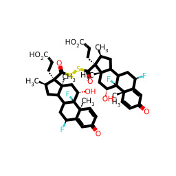 C[C@@H]1CC2C3C[C@H](F)C4=CC(=O)C=C[C@]4(C)[C@@]3(F)[C@@H](O)C[C@]2(C)[C@]1(CCC(=O)O)C(=O)SSC(=O)[C@@]1(CCC(=O)O)[C@@H](C)CC2C3C[C@@H](F)C4=CC(=O)C=C[C@]4(C)[C@]3(F)[C@H](O)C[C@@]21C